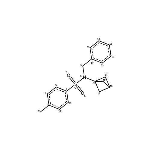 Cc1ccc(S(=O)(=O)N(Cc2ccccc2)C23CC(C2)C3)cc1